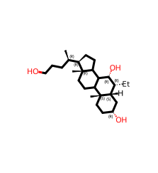 CC[C@H]1[C@@H](O)C2C3CC[C@H]([C@H](C)CCCO)[C@@]3(C)CCC2[C@@]2(C)CC[C@@H](O)C[C@@H]12